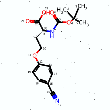 CC(C)(C)OC(=O)N[C@H](CCOc1ccc(C#N)cc1)C(=O)O